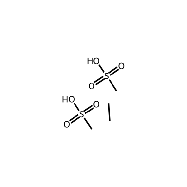 CC.CS(=O)(=O)O.CS(=O)(=O)O